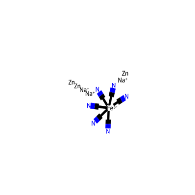 N#[C][Fe-3]([C]#N)([C]#N)([C]#N)([C]#N)[C]#N.[Na+].[Na+].[Na+].[Zn].[Zn].[Zn]